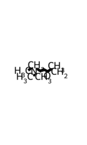 C=C(C)C(=O)CCCN(C(C)C)C(C)C